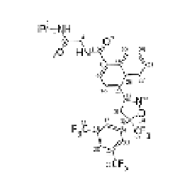 CC(C)NC(=O)CNC(=O)c1ccc(C2=NOC(c3cc(C(F)(F)F)cc(C(F)(F)F)c3)(C(F)(F)F)C2)c2ccccc12